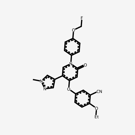 CCOc1ccc(Oc2cc(=O)n(-c3ccc(OCF)cc3)cc2-c2cnn(C)c2)cc1C#N